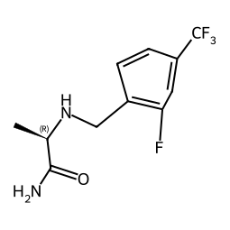 C[C@@H](NCc1ccc(C(F)(F)F)cc1F)C(N)=O